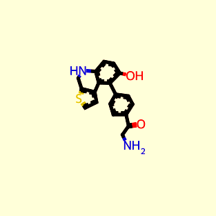 NCC(=O)c1ccc(-c2c(O)ccc3c2-c2ccsc2CN3)cc1